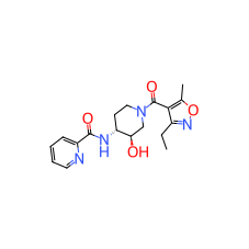 CCc1noc(C)c1C(=O)N1CC[C@@H](NC(=O)c2ccccn2)[C@H](O)C1